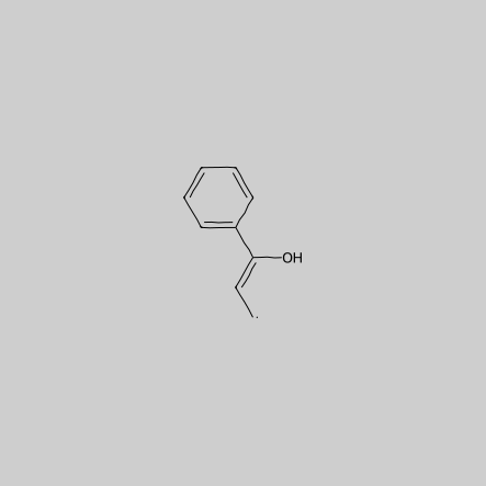 [CH2]/C=C(\O)c1ccccc1